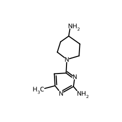 Cc1cc(N2CCC(N)CC2)nc(N)n1